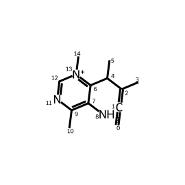 C=C=C(C)C(C)c1c(N)c(C)nc[n+]1C